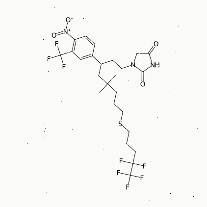 CC(C)(CCCSCCCC(F)(F)C(F)(F)F)CC(CCN1CC(=O)NC1=O)c1ccc([N+](=O)[O-])c(C(F)(F)F)c1